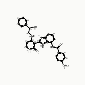 COc1ccc(C(=O)Nc2cccc3nc(-c4c(NCC(O)c5ccccc5)cc[nH]c4=O)[nH]c23)cc1